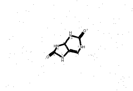 O=C1NC=C2NC(=O)NC2N1